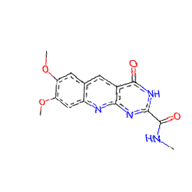 CNC(=O)c1nc2nc3cc(OC)c(OC)cc3cc2c(=O)[nH]1